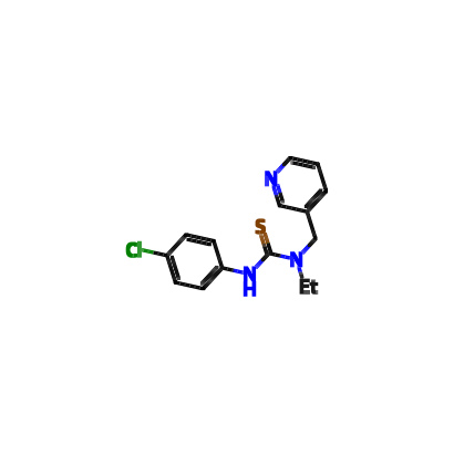 CCN(Cc1cccnc1)C(=S)Nc1ccc(Cl)cc1